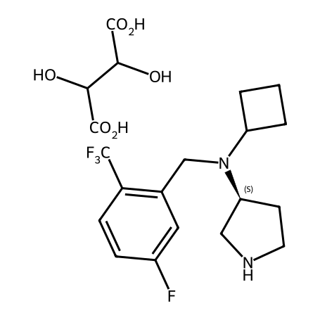 Fc1ccc(C(F)(F)F)c(CN(C2CCC2)[C@H]2CCNC2)c1.O=C(O)C(O)C(O)C(=O)O